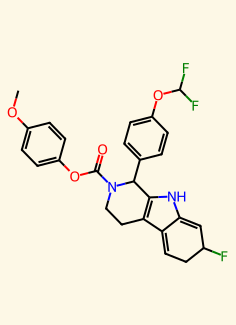 COc1ccc(OC(=O)N2CCc3c([nH]c4c3=CCC(F)C=4)C2c2ccc(OC(F)F)cc2)cc1